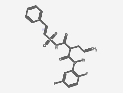 C=CCC(C(=O)NS(=O)(=O)/C=C/c1ccccc1)C(=O)N(CC)c1cc(F)ccc1F